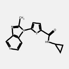 Cc1nc2cnccc2n1-c1ccc(C(=O)NC2CC2)s1